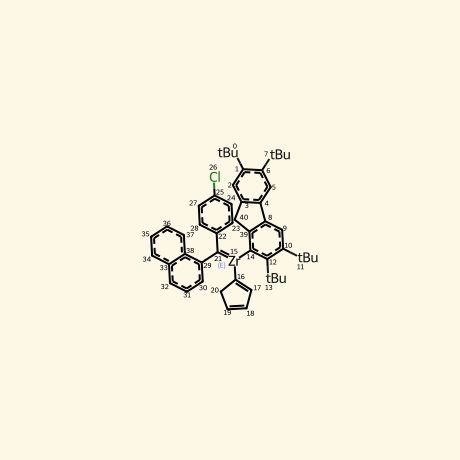 CC(C)(C)c1cc2c(cc1C(C)(C)C)-c1cc(C(C)(C)C)c(C(C)(C)C)[c](/[Zr]([C]3=CC=CC3)=[C](\c3ccc(Cl)cc3)c3cccc4ccccc34)c1C2